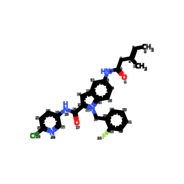 C/C=C(\C)CC(=O)Nc1ccc2c(c1)cc(C(=O)Nc1ccc(Cl)nc1)n2Cc1ccccc1F